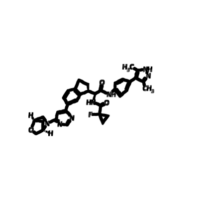 Cc1n[nH]c(C)c1-c1ccc(NC(=O)[C@@H](NC(=O)C2(F)CC2)[C@@H]2CCc3ccc(-c4cc(N5C[C@H]6C[C@@H]5CO6)ncn4)cc32)cc1